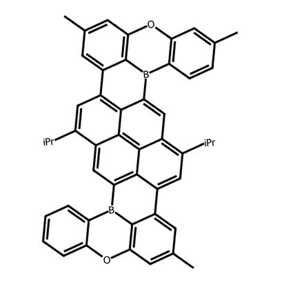 Cc1ccc2c(c1)Oc1cc(C)cc3c1B2c1cc2c(C(C)C)cc4c5c(cc6c(C(C)C)cc-3c1c6c25)B1c2ccccc2Oc2cc(C)cc-4c21